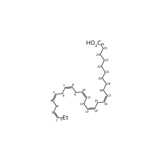 CC/C=C\C/C=C\C/C=C\C/C=C\C/C=C\C/C=C\CCCCCCCCC(=O)O